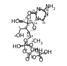 C#CC1(Cl)C(CO)[C@@H]([C@H](C)OP(=O)(O)OP(=O)(O)OP(=O)(O)O)O[C@H]1n1cnc(N)nc1=O